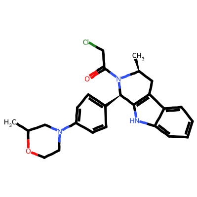 CC1CN(c2ccc([C@@H]3c4[nH]c5ccccc5c4C[C@H](C)N3C(=O)CCl)cc2)CCO1